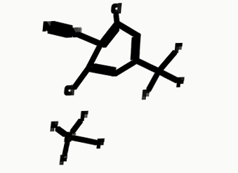 F[B-](F)(F)F.N#[N+]c1c(Cl)cc(C(F)(F)F)cc1Cl